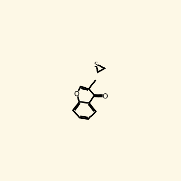 C1CS1.Cc1coc2ccccc2c1=O